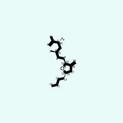 C=C(C)[C@H](C)C[C@H](C)CC[C@@H]1O[C@@H](CCCC)CC1=C